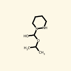 CC(C)OC(O)N1CCCCN1